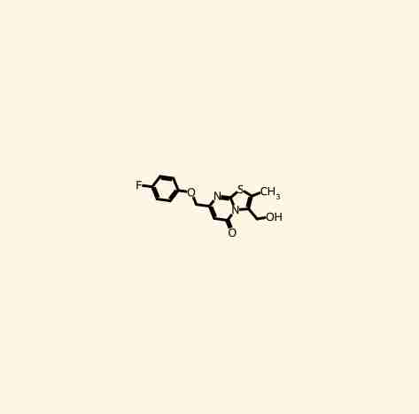 Cc1sc2nc(COc3ccc(F)cc3)cc(=O)n2c1CO